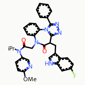 COc1ccc(N(C(=O)CN2C(=O)C(Cc3c[nH]c4cc(F)ccc34)c3nnc(-c4ccccc4)n3-c3ccccc32)C(C)C)cn1